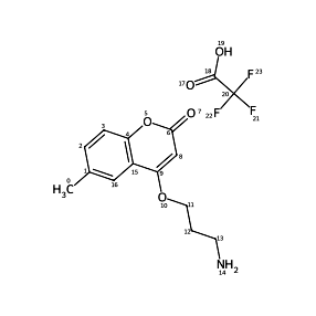 Cc1ccc2oc(=O)cc(OCCCN)c2c1.O=C(O)C(F)(F)F